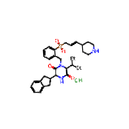 CCC(CC)C1C(=O)NC(C2Cc3ccccc3C2)C(=O)N1Cc1ccccc1S(=O)(=O)CC=CC1CCNCC1.Cl